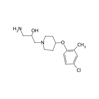 Cc1cc(Cl)ccc1OC1CCN(CC(O)CN)CC1